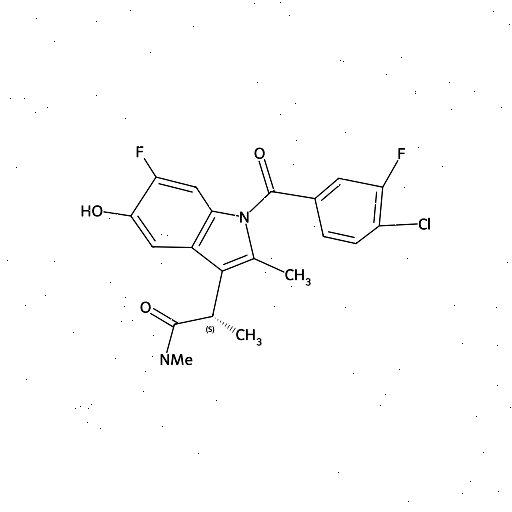 CNC(=O)[C@@H](C)c1c(C)n(C(=O)c2ccc(Cl)c(F)c2)c2cc(F)c(O)cc12